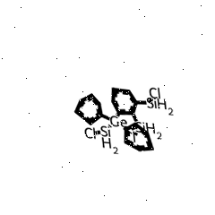 Cl[SiH2]c1ccc[c]([Ge]([SiH2]Cl)([c]2ccccc2)[c]2ccccc2)c1[SiH2]Cl